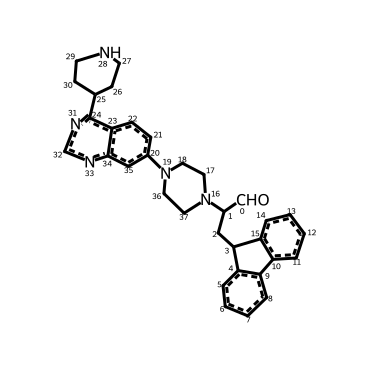 O=CC(CC1c2ccccc2-c2ccccc21)N1CCN(c2ccc3c(C4CCNCC4)ncnc3c2)CC1